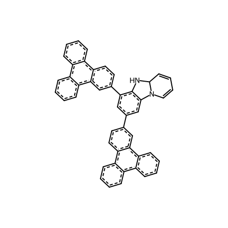 C1=CC2Nc3c(-c4ccc5c6ccccc6c6ccccc6c5c4)cc(-c4ccc5c6ccccc6c6ccccc6c5c4)cc3N2C=C1